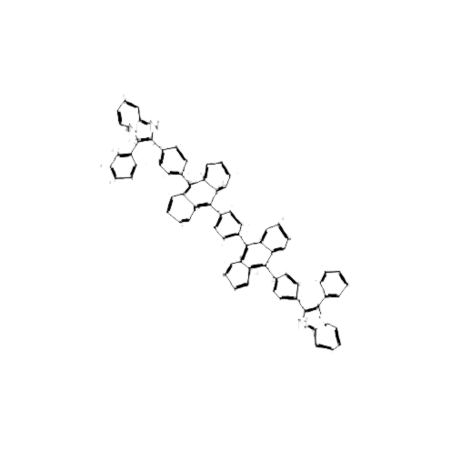 c1ccc(-c2c(-c3ccc(-c4c5ccccc5c(-c5ccc(-c6c7ccccc7c(-c7ccc(-c8nc9ccccn9c8-c8ccccc8)cc7)c7ccccc67)cc5)c5ccccc45)cc3)nc3ccccn23)cc1